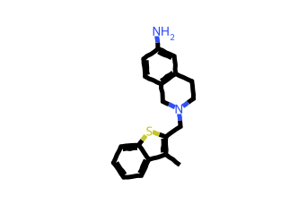 Cc1c(CN2CCc3cc(N)ccc3C2)sc2ccccc12